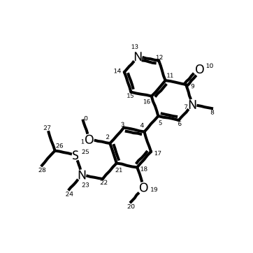 COc1cc(-c2cn(C)c(=O)c3cnccc23)cc(OC)c1CN(C)SC(C)C